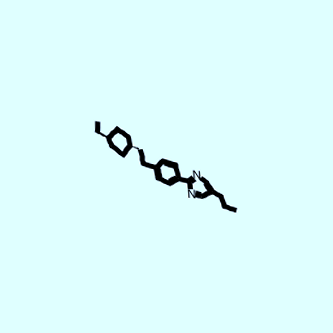 CCCc1cnc(-c2ccc(CC[C@H]3CC[C@H](CC)CC3)cc2)nc1